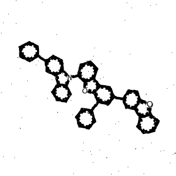 c1ccc(-c2ccc3c(c2)c2ccccc2n3-c2cccc3c2oc2c(-c4ccccc4)cc(-c4ccc5oc6ccccc6c5c4)cc23)cc1